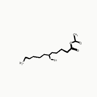 CCCCCCC(CCCCC(=O)OC(C)Cl)SS